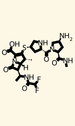 CNC(=O)[C@@H]1C[C@H](N)CN1C(=O)[C@@H]1C[C@H](SC2=C(C(=O)O)N3C(=O)[C@H](C(C)NC(=O)C(F)F)[C@H]3[C@H]2C)CN1